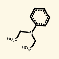 O=C(O)C[As](CC(=O)O)c1ccccc1